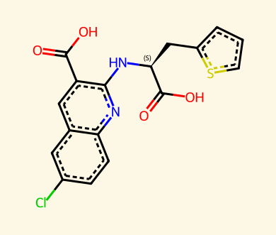 O=C(O)c1cc2cc(Cl)ccc2nc1N[C@@H](Cc1cccs1)C(=O)O